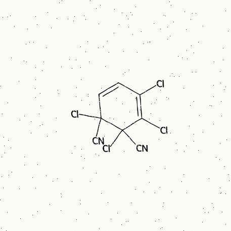 N#CC1(Cl)C=CC(Cl)=C(Cl)C1(Cl)C#N